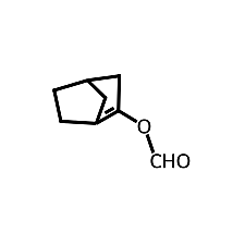 O=COC1=C2CCC(C2)C1